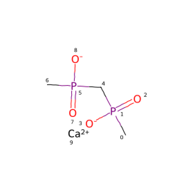 CP(=O)([O-])CP(C)(=O)[O-].[Ca+2]